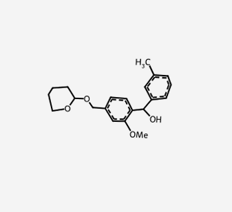 COc1cc(COC2CCCCO2)ccc1C(O)c1cccc(C)c1